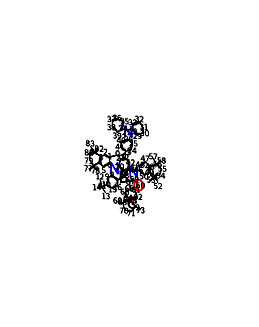 Cc1cc2c(cc1N1c3cc(C(C)(C)C)ccc3B3c4c1cc(-c1ccc(N(c5ccccc5)c5ccccc5)cc1)cc4N(c1ccc4c(c1)C(C)(C)CCC4(C)C)c1oc4cc5c(cc4c13)C1(C)CCC5(C)CC1)C(C)(C)CCC2(C)C